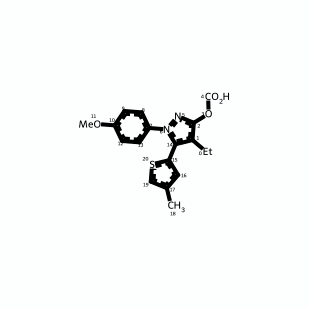 CCc1c(OC(=O)O)nn(-c2ccc(OC)cc2)c1-c1cc(C)cs1